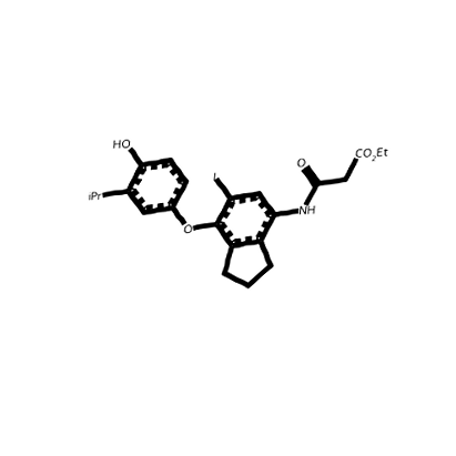 CCOC(=O)CC(=O)Nc1cc(I)c(Oc2ccc(O)c(C(C)C)c2)c2c1CCC2